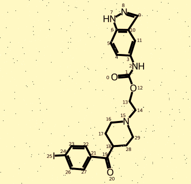 O=C(Nc1ccc2[nH]ncc2c1)OCCN1CCC(C(=O)c2ccc(I)cc2)CC1